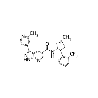 Cc1cc(-c2n[nH]c3ncc(C(=O)NC4CN(C)CC4c4ccccc4C(F)(F)F)cc23)ccn1